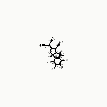 CC(C)(C)C1=C(C#N)C(=C(C#N)C#N)OC1(C)c1c(F)c(F)c(F)c(F)c1F